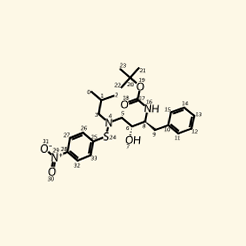 CC(C)CN(C[C@@H](O)[C@H](Cc1ccccc1)NC(=O)OC(C)(C)C)Sc1ccc([N+](=O)[O-])cc1